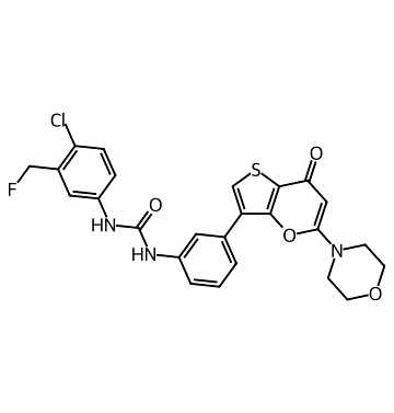 O=C(Nc1cccc(-c2csc3c(=O)cc(N4CCOCC4)oc23)c1)Nc1ccc(Cl)c(CF)c1